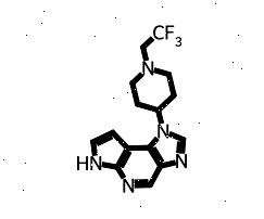 FC(F)(F)CN1CCC(n2cnc3cnc4[nH]ccc4c32)CC1